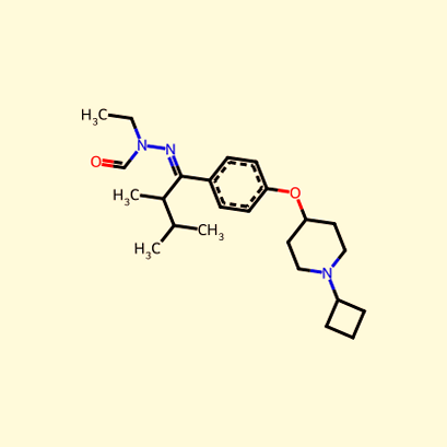 CCN(C=O)/N=C(/c1ccc(OC2CCN(C3CCC3)CC2)cc1)C(C)C(C)C